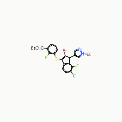 CCOC(=O)c1cccc(SC2=C(Br)C(c3cnn(CC)c3)c3c2ccc(Cl)c3F)c1F